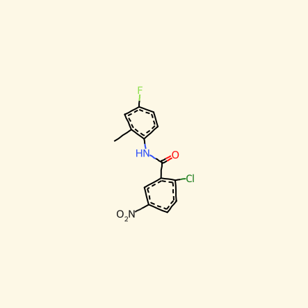 Cc1cc(F)ccc1NC(=O)c1cc([N+](=O)[O-])ccc1Cl